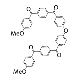 COc1ccc(C(=O)c2ccc(C(=O)c3ccc(Oc4ccc(C(=O)c5ccc(C(=O)c6ccc(OC)cc6)cc5)cc4)cc3)cc2)cc1